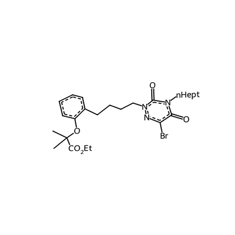 CCCCCCCn1c(=O)c(Br)nn(CCCCc2ccccc2OC(C)(C)C(=O)OCC)c1=O